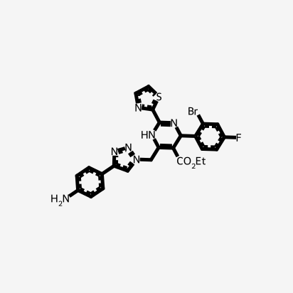 CCOC(=O)C1=C(Cn2cc(-c3ccc(N)cc3)nn2)NC(c2nccs2)=NC1c1ccc(F)cc1Br